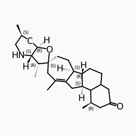 CC1=C2C[C@@H]3C4C(CC[C@H]3[C@@H]2CC[C@@]2(C1)O[C@@H]1C[C@H](C)CN[C@H]1[C@H]2C)CC(=O)C[C@H]4C